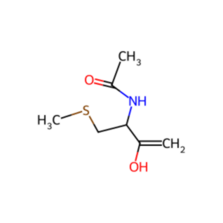 C=C(O)C(CSC)NC(C)=O